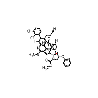 COC(=O)N1C[C@@H](Oc2ccccn2)C[C@@H]1c1cc2c(SC)nc3c(F)c(-c4cccc(Cl)c4Cl)c(CCC#N)cc3c2n1[C@H]1[C@@H]2C[C@H]1N(C(=O)O)C2